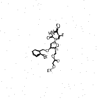 CCOCC(=O)OC[C@@H]1O[C@H](n2cc(F)c(=O)[nH]c2=O)CC1OCc1ccccc1Br